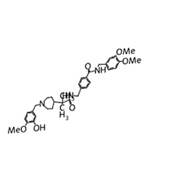 COc1ccc(CN2CCC(C(C)(C)C(=O)NCc3ccc(C(=O)NCc4ccc(OC)c(OC)c4)cc3)CC2)cc1O